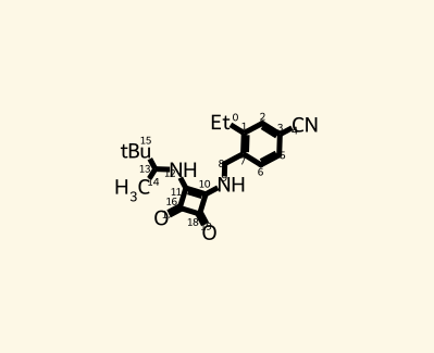 CCc1cc(C#N)ccc1CNc1c(NC(C)C(C)(C)C)c(=O)c1=O